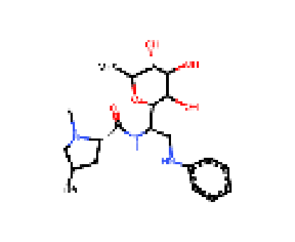 CCCC1C[C@@H](C(=O)N[C@H](CNc2ccccc2)[C@H]2OC(SC)[C@H](O)C(O)C2O)N(C)C1